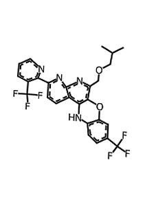 CC(C)COCc1nc2nc(-c3ncccc3C(F)(F)F)ccc2c2c1Oc1cc(C(F)(F)F)ccc1N2